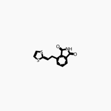 O=C1NC(=O)c2c(CC=C3SC=CS3)cccc21